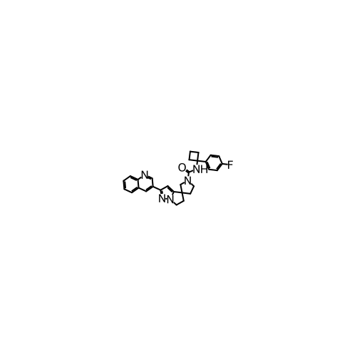 O=C(NC1(c2ccc(F)cc2)CCC1)N1CCC2(CCn3nc(-c4cnc5ccccc5c4)cc32)C1